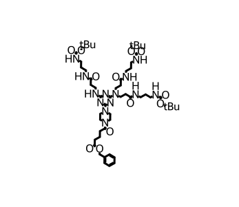 CC(C)(C)OC(=O)NCCCNC(=O)CCNc1nc(N(CCC(=O)NCCCNC(=O)OC(C)(C)C)CCC(=O)NCCCNC(=O)OC(C)(C)C)nc(N2CCN(C(=O)CCCC(=O)OCc3ccccc3)CC2)n1